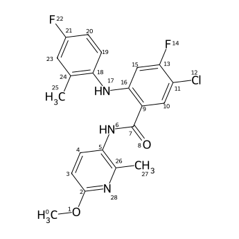 COc1ccc(NC(=O)c2cc(Cl)c(F)cc2Nc2ccc(F)cc2C)c(C)n1